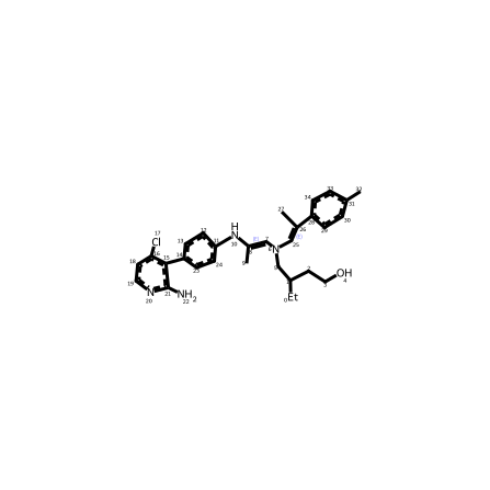 CCC(CCO)CN(/C=C(\C)Nc1ccc(-c2c(Cl)ccnc2N)cc1)/C=C(\C)c1ccc(C)cc1